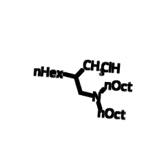 CCCCCCCCN(CCCCCCCC)CC(C)CCCCCC.Cl